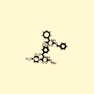 C[C@@H](c1ccc(NC(=O)[C@@H](NC(=O)OCc2ccccc2)C2CCCCCC2)c(F)c1)[C@@H](NC(=O)OC(C)(C)C)C(=O)N1CCN(C)CC1